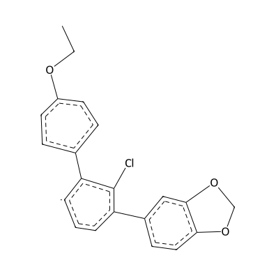 CCOc1ccc(-c2[c]ccc(-c3ccc4c(c3)OCO4)c2Cl)cc1